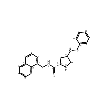 O=C(NCc1cccc2ccccc12)[C@@H]1CC(OCc2ccccc2)CN1